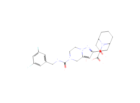 O=C(O)C1CC2CCCC(C1)N2C(=O)c1cc2n(n1)CCN(C(=O)NCc1cc(F)cc(F)c1)C2